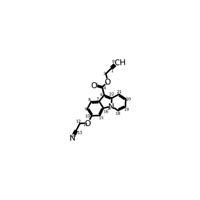 C#CCOC(=O)c1c2ccc(OCC#N)cc2n2ccccc12